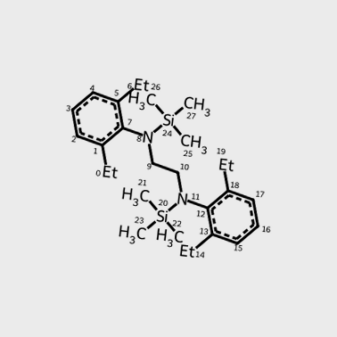 CCc1cccc(CC)c1N(CCN(c1c(CC)cccc1CC)[Si](C)(C)C)[Si](C)(C)C